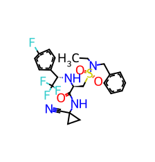 CCN(Cc1ccccc1)S(=O)(=O)C[C@H](N[C@@H](c1ccc(F)cc1)C(F)(F)F)C(=O)NC1(C#N)CC1